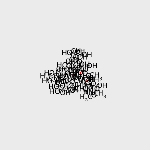 CC(=O)NC1C(O)[C@H](O[C@@H]2OC(CO[C@]3(OC=O)C[C@@H](O)[C@@H](C)C(C(O)C(O)CO)O3)[C@H](O)[C@H](O)C2O)[C@H](CO)O[C@H]1OC1[C@@H](OCC2O[C@@H](O[C@@H]3C(CO)O[C@@H](O[C@@H]4C(CO)O[C@@H](C)C(NC(C)=O)[C@H]4O)C(NC(C)=O)[C@H]3O)C(O)[C@@H](O[C@H]3OC(CO)[C@@H](O)C(O)C3O[C@@H]3OC(CO)[C@@H](O[C@@H]4OC(CO[C@]5(OC=O)C[C@@H](O)[C@@H](C)C(C(O)C(O)CO)O5)[C@H](O)[C@H](O)C4O)[C@H](O)C3NC(C)=O)[C@@H]2O)OC(CO)[C@@H](O)[C@@H]1O